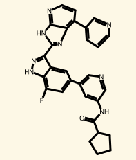 O=C(Nc1cncc(-c2cc(F)c3[nH]nc(-c4nc5c(-c6cccnc6)ccnc5[nH]4)c3c2)c1)C1CCCC1